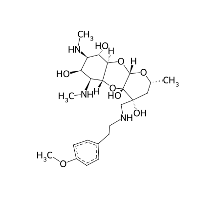 CN[C@@H]1[C@H](O)[C@H](NC)[C@H]2O[C@]3(O)[C@H](O[C@@H]2[C@H]1O)O[C@H](C)C[C@@]3(O)CNCCc1ccc(OC)cc1